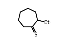 C[CH]C1CCCCCC1=S